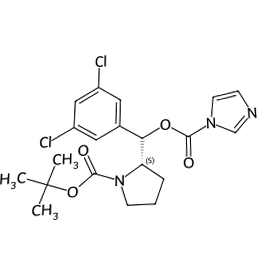 CC(C)(C)OC(=O)N1CCC[C@H]1C(OC(=O)n1ccnc1)c1cc(Cl)cc(Cl)c1